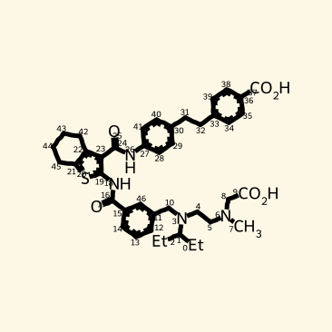 CCC(CC)N(CCN(C)CC(=O)O)Cc1cccc(C(=O)Nc2sc3c(c2C(=O)Nc2ccc(CCc4ccc(C(=O)O)cc4)cc2)CCCC3)c1